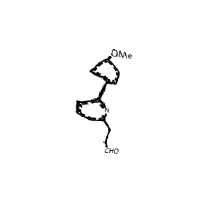 COc1ccc(-c2cccc(CCC=O)n2)cc1